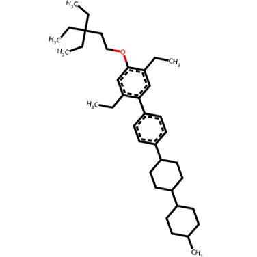 CCc1cc(-c2ccc(C3CCC(C4CCC(C)CC4)CC3)cc2)c(CC)cc1OCCC(CC)(CC)CC